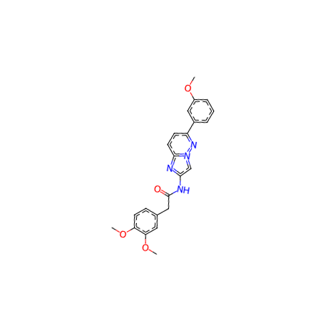 COc1cccc(-c2ccc3nc(NC(=O)Cc4ccc(OC)c(OC)c4)cn3n2)c1